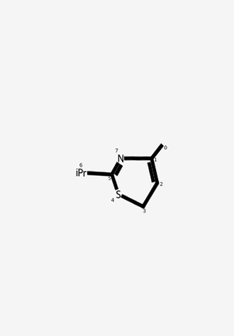 CC1=CCSC(C(C)C)=N1